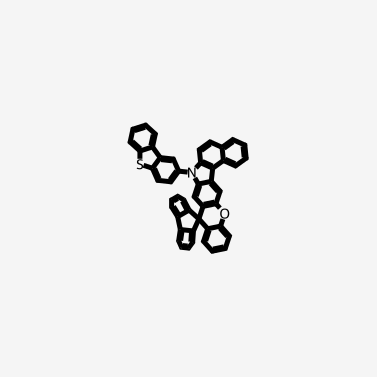 c1ccc2c(c1)Oc1cc3c4c5ccccc5ccc4n(-c4ccc5sc6ccccc6c5c4)c3cc1C21c2ccccc2-c2ccccc21